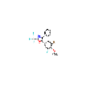 COc1c(F)cc(-c2oc(C(F)(F)F)nc2-c2ccccc2)cc1Br